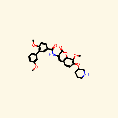 COc1cccc(-c2cc(C(=O)Nc3cc4ccc(OC5CCCNC5)c(OC)c4oc3=O)ccc2OC)c1